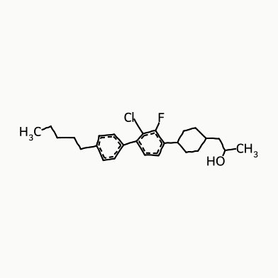 CCCCCc1ccc(-c2ccc(C3CCC(CC(C)O)CC3)c(F)c2Cl)cc1